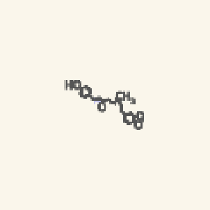 CN(CCC(=O)/C=C/c1ccc(O)cc1)CCc1ccc2c(c1)OCO2